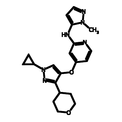 Cn1nccc1Nc1cc(Oc2cn(C3CC3)nc2C2CCOCC2)ccn1